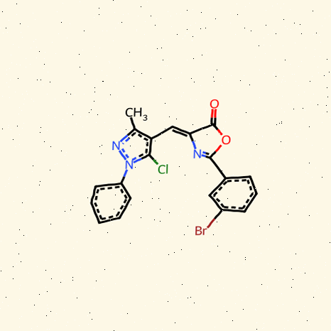 Cc1nn(-c2ccccc2)c(Cl)c1C=C1N=C(c2cccc(Br)c2)OC1=O